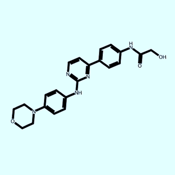 O=C(CO)Nc1ccc(-c2ccnc(Nc3ccc(N4CCOCC4)cc3)n2)cc1